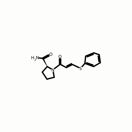 NC(=O)[C@@H]1CCCN1C(=O)/C=C/Sc1ccccc1